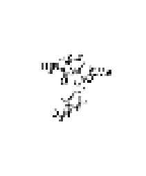 COCC1=C(C(=O)OCc2ccc([N+](=O)[O-])cc2)N2C(=O)[C@H](N)[C@@H]2SC1